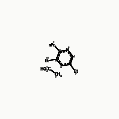 CC(=O)O.CCCc1ncc(CC)cc1CC